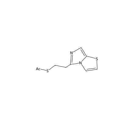 CC(=O)SCCc1ncc2sccn12